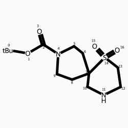 CC(C)(C)OC(=O)N1CCC2(CC1)CNCCS2(=O)=O